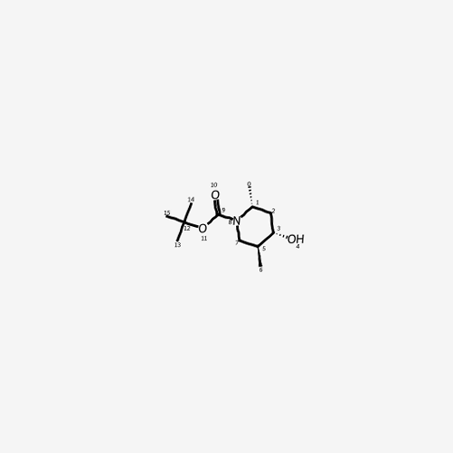 C[C@@H]1C[C@H](O)[C@@H](C)CN1C(=O)OC(C)(C)C